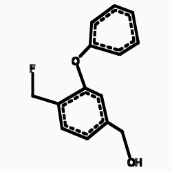 OCc1ccc(CF)c(Oc2ccccc2)c1